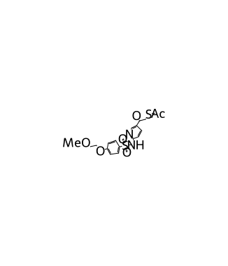 COCCOc1ccc(S(=O)(=O)Nc2ccc(C(=O)CSC(C)=O)cn2)cc1